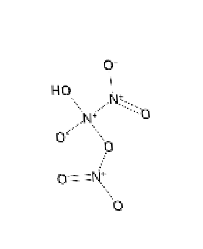 O=[N+]([O-])O[N+]([O-])(O)[N+](=O)[O-]